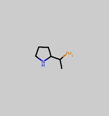 CC(P)C1CCCN1